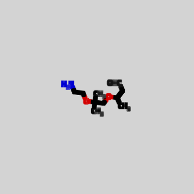 CC(CC=O)OCC(C)(C)OCCN